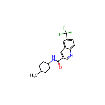 CC1CCC(NC(=O)c2cnc3ccc(C(F)(F)F)cc3c2)CC1